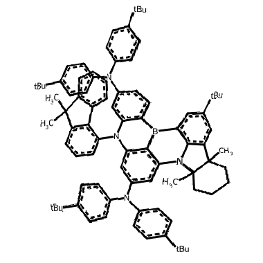 CC(C)(C)c1ccc(N(c2ccc(C(C)(C)C)cc2)c2ccc3c(c2)N(c2cccc4c2-c2ccccc2C4(C)C)c2cc(N(c4ccc(C(C)(C)C)cc4)c4ccc(C(C)(C)C)cc4)cc4c2B3c2cc(C(C)(C)C)cc3c2N4C2(C)CCCCC32C)cc1